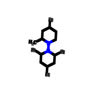 CCC1CCN(N2C(CC)CC(CC)CC2CC)C(C)C1